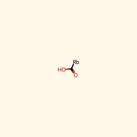 O=[C](O)[Rb]